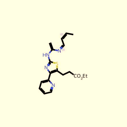 C=C(/N=C\C=C/C)Nc1nc(-c2ccccn2)c(CCC(=O)OCC)s1